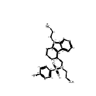 N#CCCN(CC1CCCc2c1c1ccccc1n2CCC#N)S(=O)(=O)c1ccc(F)cc1